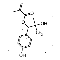 C=C(C)C(=O)OC(c1ccc(O)cc1)C(C)(O)C(F)(F)F